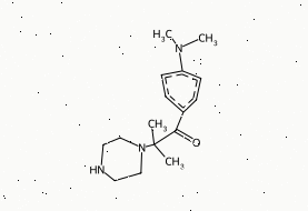 CN(C)c1ccc(C(=O)C(C)(C)N2CCNCC2)cc1